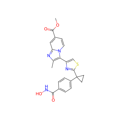 COC(=O)c1ccn2c(-c3csc(C4(c5ccc(C(=O)NO)cc5)CC4)n3)c(C)nc2c1